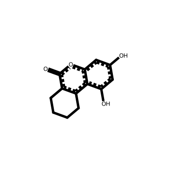 O=c1oc2cc(O)cc(O)c2c2c1CCCC2